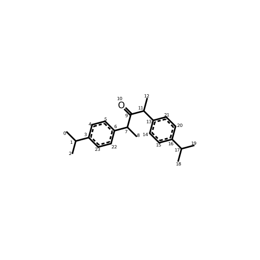 CC(C)c1ccc(C(C)C(=O)C(C)c2ccc(C(C)C)cc2)cc1